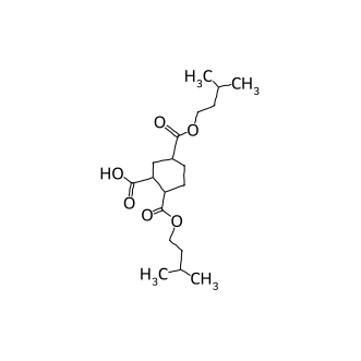 CC(C)CCOC(=O)C1CCC(C(=O)OCCC(C)C)C(C(=O)O)C1